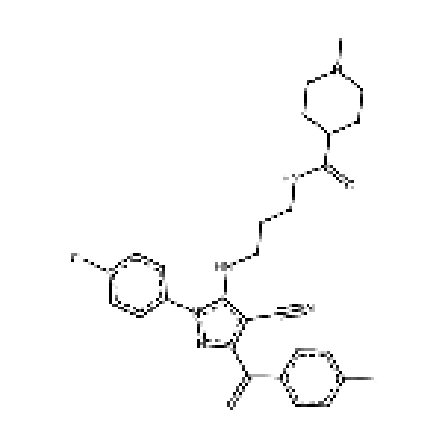 Cc1ccc(C(=O)c2nn(-c3ccc(Cl)cc3)c(NCCCNC(=O)C3CCN(C)CC3)c2C#N)cc1